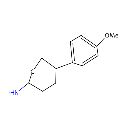 COc1ccc(C2CCC([NH])CC2)cc1